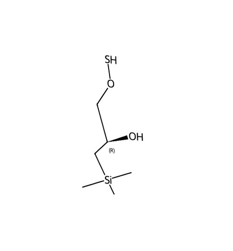 C[Si](C)(C)C[C@H](O)COS